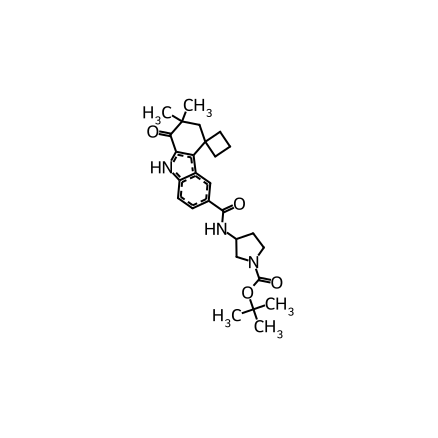 CC(C)(C)OC(=O)N1CCC(NC(=O)c2ccc3[nH]c4c(c3c2)C2(CCC2)CC(C)(C)C4=O)C1